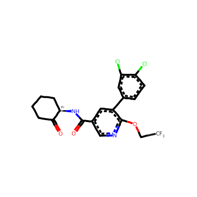 O=C(N[C@@H]1CCCCC1=O)c1cnc(OCC(F)(F)F)c(-c2ccc(Cl)c(Cl)c2)c1